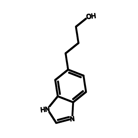 OCCCc1ccc2nc[nH]c2c1